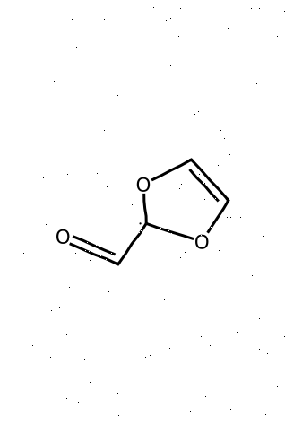 O=C[C]1OC=CO1